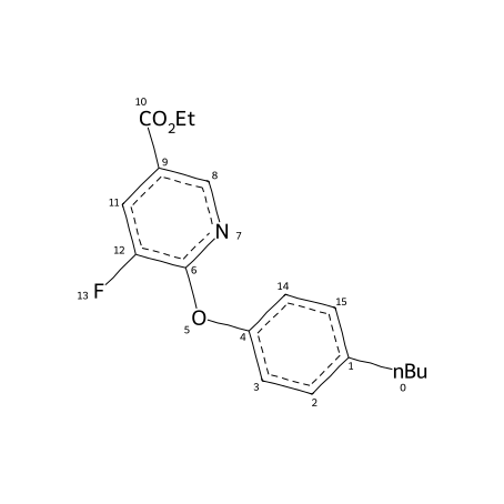 CCCCc1ccc(Oc2ncc(C(=O)OCC)cc2F)cc1